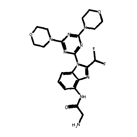 NCC(=O)Nc1cccc2c1nc(C(F)F)n2-c1nc(N2CCOCC2)nc(N2CCOCC2)n1